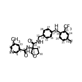 Cc1cncc(C(=O)N[C@@]2(C(=O)NCc3ccc(Nc4ccc(F)cc4C(F)(F)F)cc3)CCOC2)c1